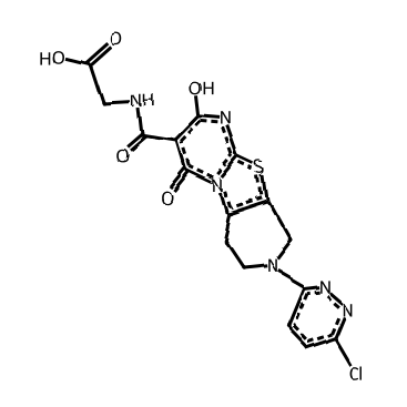 O=C(O)CNC(=O)c1c(O)nc2sc3c(n2c1=O)CCN(c1ccc(Cl)nn1)C3